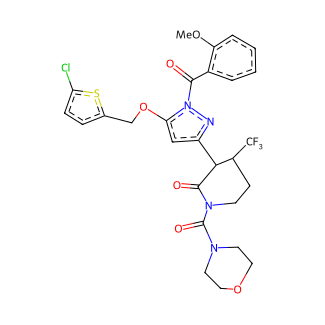 COc1ccccc1C(=O)n1nc(C2C(=O)N(C(=O)N3CCOCC3)CCC2C(F)(F)F)cc1OCc1ccc(Cl)s1